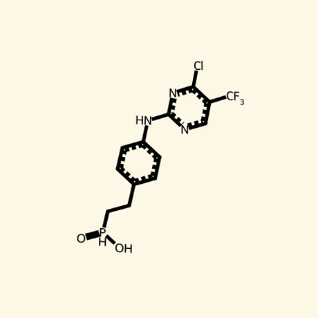 O=[PH](O)CCc1ccc(Nc2ncc(C(F)(F)F)c(Cl)n2)cc1